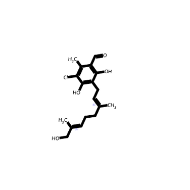 C/C(=C\CC/C(C)=C/Cc1c(O)c(Cl)c(C)c(C=O)c1O)CO